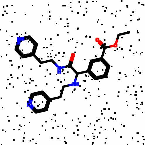 CCOC(=O)c1cccc(C(NCCc2ccncc2)C(=O)NCCc2ccncc2)c1